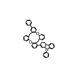 C1=CC2Cc3c(cccc3C3=CC4C(CC3)c3ccccc3N4c3ccccc3)Oc3ccccc3Cc3cc(-c4ccccc4)ccc3OC2C=C1